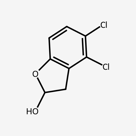 OC1Cc2c(ccc(Cl)c2Cl)O1